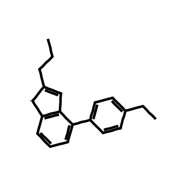 CCCC1=Cc2c(cccc2-c2ccc(CC)cc2)[CH]1